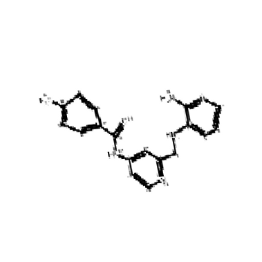 Nc1ncccc1NCc1cc(NC(=O)c2ccc(C(F)(F)F)cc2)ccn1